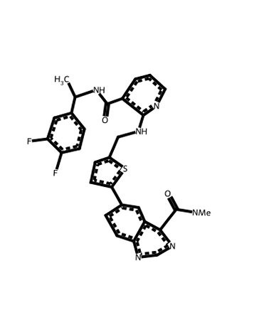 CNC(=O)c1ncnc2ccc(-c3ccc(CNc4ncccc4C(=O)NC(C)c4ccc(F)c(F)c4)s3)cc12